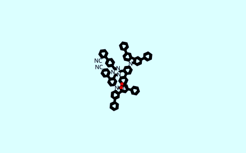 N#Cc1ccc(-c2ccc(-n3c4ccc(-c5ccccc5)cc4c4cc(-c5ccccc5)ccc43)cc2-c2nc(-c3ccc(-c4ccccc4C#N)cc3)nc(-c3cc(-n4c5ccc(-c6ccccc6)cc5c5cc(-c6ccccc6)ccc54)ccc3-c3ccc(C#N)cc3)n2)cc1